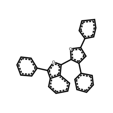 c1ccc(-c2cc(-c3ccccc3)c(-c3oc(-c4ccccc4)c4ccccc34)o2)cc1